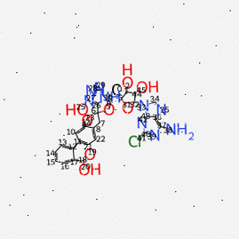 C[C@@]1(O)[C@@H](COC(Cc2ccc(-c3ccccc3C(=O)O)cc2)(C(=O)O)c2nnn[nH]2)O[C@@H](n2cnc3c(N)nc(Cl)nc32)[C@@H]1O